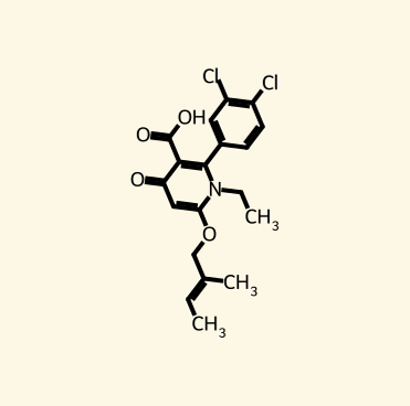 C/C=C(\C)COc1cc(=O)c(C(=O)O)c(-c2ccc(Cl)c(Cl)c2)n1CC